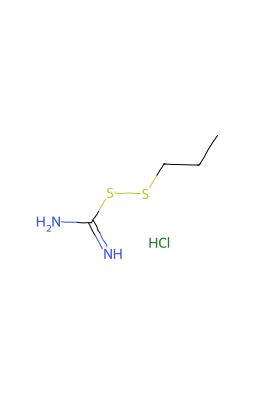 CCCSSC(=N)N.Cl